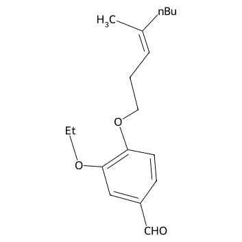 CCCC/C(C)=C/CCOc1ccc(C=O)cc1OCC